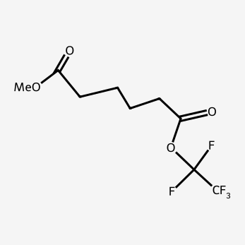 COC(=O)CCCCC(=O)OC(F)(F)C(F)(F)F